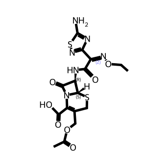 CCO/N=C(\C(=O)N[C@@H]1C(=O)N2C(C(=O)O)=C(COC(C)=O)CS[C@@H]12)c1nsc(N)n1